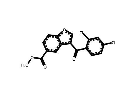 COC(=O)c1ccc2occ(C(=O)c3ccc(Cl)cc3Cl)c2c1